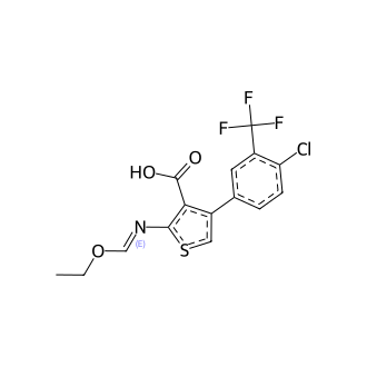 CCO/C=N/c1scc(-c2ccc(Cl)c(C(F)(F)F)c2)c1C(=O)O